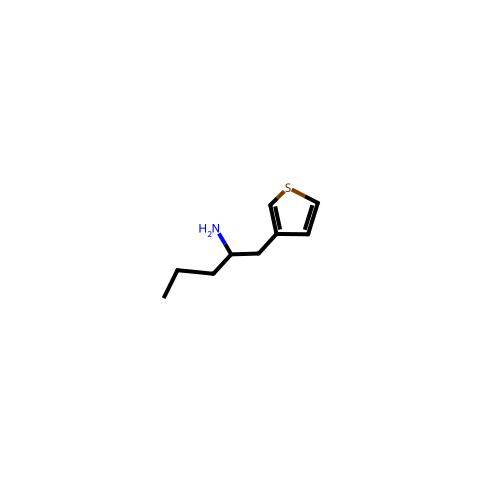 CCCC(N)Cc1ccsc1